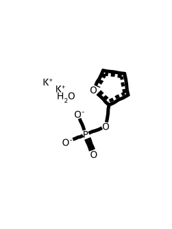 O.O=P([O-])([O-])Oc1ccco1.[K+].[K+]